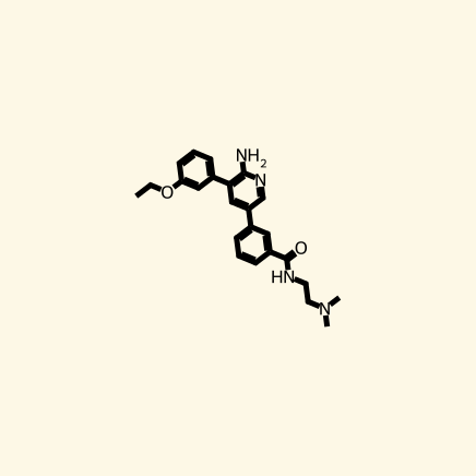 CCOc1cccc(-c2cc(-c3cccc(C(=O)NCCN(C)C)c3)cnc2N)c1